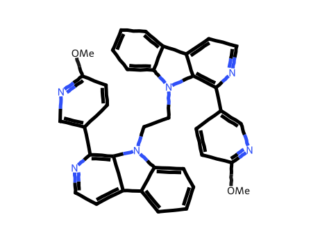 COc1ccc(-c2nccc3c4ccccc4n(CCn4c5ccccc5c5ccnc(-c6ccc(OC)nc6)c54)c23)cn1